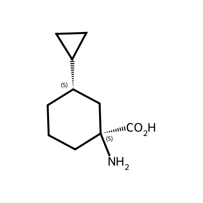 N[C@@]1(C(=O)O)CCC[C@H](C2CC2)C1